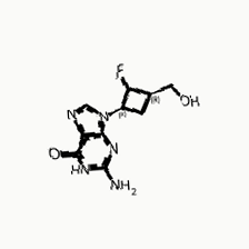 Nc1nc2c(ncn2[C@@H]2C[C@H](CO)C2F)c(=O)[nH]1